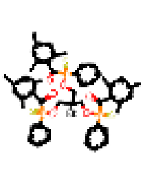 CCC(COP(=S)(C(=O)c1c(C)cc(C)cc1C)c1ccccc1)(COP(=S)(C(=O)c1c(C)cc(C)cc1C)c1ccccc1)COP(=S)(C(=O)c1c(C)cc(C)cc1C)c1ccccc1